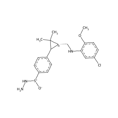 COc1ccc(Cl)cc1NC[C@@H]1C(c2ccc([S+]([O-])NN)cc2)C1(C)C